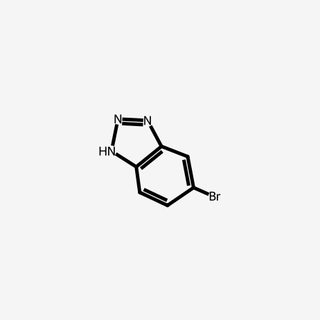 Brc1ccc2[nH]nnc2c1